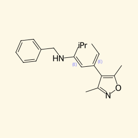 C/C=C(\C=C(\NCc1ccccc1)C(C)C)c1c(C)noc1C